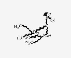 CCCCCCCCC(CCCCCC)COC(=O)CCCCCN(CCCCCC(O)OCC(CCCCCC)CCCCCCCC)CCCCN(C(=O)CCO)C1CCC1